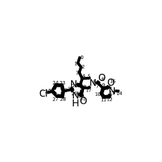 CCCCC1CN(C(=O)c2cccn(C)c2=O)Cc2c1nc(-c1ccc(Cl)cc1)[nH]c2=O